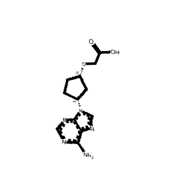 Nc1ncnc2c1ncn2[C@@H]1CC[C@H](OCC(=O)O)C1